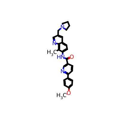 COc1ccc(-c2ccc(C(=O)Nc3ccc4cc(CN5CCCC5)cnc4c3C)cn2)cc1